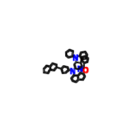 C1=CC2c3ccccc3N(c3ccccc3)C2C=C1N(c1ccc(-c2ccc3ccccc3c2)cc1)c1cccc2ccc3oc(-c4ccccc4)nc3c12